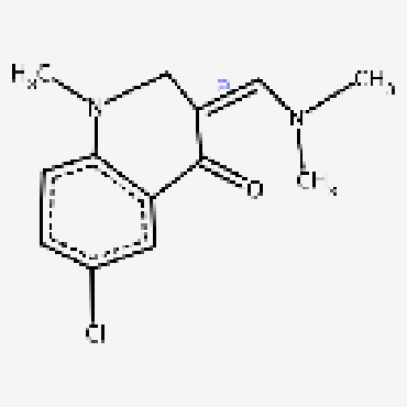 CN(C)/C=C1/CN(C)c2ccc(Cl)cc2C1=O